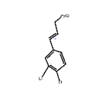 O=CC/C=C/c1ccc(Cl)c(Cl)c1